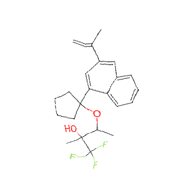 C=C(C)c1cc(C2(OC(C)C(C)(O)C(F)(F)F)CCCC2)c2ccccc2c1